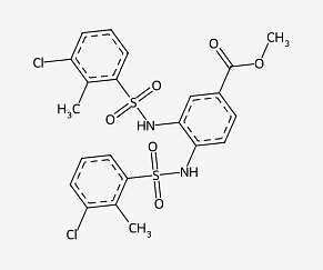 COC(=O)c1ccc(NS(=O)(=O)c2cccc(Cl)c2C)c(NS(=O)(=O)c2cccc(Cl)c2C)c1